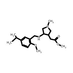 COC(=O)CC1CN(C)CC1NCc1cc(C(C)C)ccc1OC